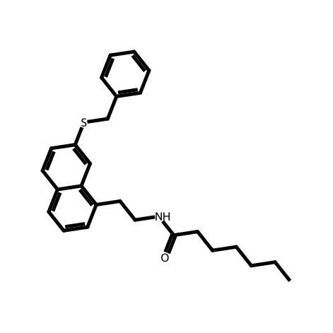 CCCCCCC(=O)NCCc1cccc2ccc(SCc3ccccc3)cc12